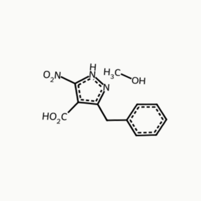 CO.O=C(O)c1c(Cc2ccccc2)n[nH]c1[N+](=O)[O-]